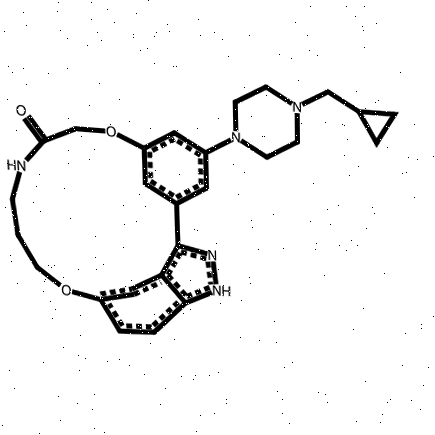 O=C1COc2cc(cc(N3CCN(CC4CC4)CC3)c2)-c2n[nH]c3ccc(cc23)OCCCN1